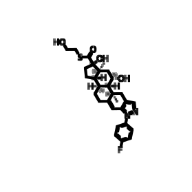 C[C@]12Cc3cnn(-c4ccc(F)cc4)c3C=C1CC[C@@H]1[C@@H]2[C@@H](O)C[C@@]2(C)[C@H]1CC[C@]2(O)C(=O)SCCO